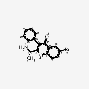 C[C@H](N)c1oc2ccc(Br)cc2c(=O)c1-c1ccccc1